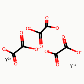 O=C([O-])C(=O)[O-].O=C([O-])C(=O)[O-].O=C([O-])C(=O)[O-].[Y+3].[Y+3]